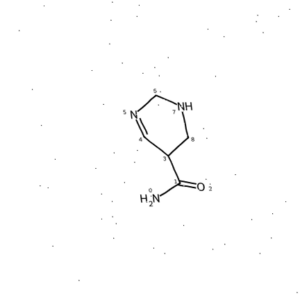 NC(=O)C1C=NCNC1